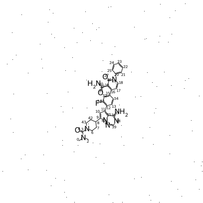 CN(C)C(=O)N1CCC(c2cc(-c3ccc(-c4ccn(-c5ccccc5)c(=O)c4C(N)=O)cc3F)c3c(N)ncnn23)CC1